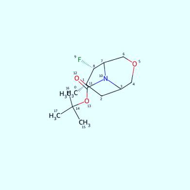 C[C@H]1CC2COCC([C@H]1F)N2C(=O)OC(C)(C)C